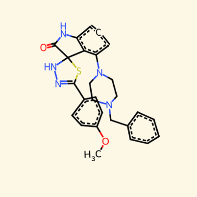 COc1ccc(C2=NNC3(S2)C(=O)Nc2cccc(N4CCN(Cc5ccccc5)CC4)c23)cc1